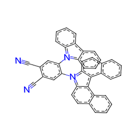 N#Cc1cc(-n2c3ccccc3c3ccccc32)c(-n2c3ccc4ccccc4c3c3c4ccccc4ccc32)cc1C#N